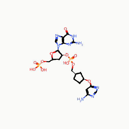 Nc1cc(O[C@H]2CC[C@@H](COP(=O)(O)O[C@@H]3CC(COP(=O)(O)O)O[C@H]3n3cnc4c(=O)[nH]c(N)nc43)C2)ncn1